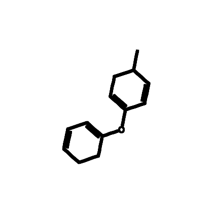 CC1C=CC(OC2=CC=CCC2)=CC1